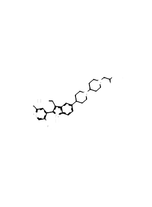 CCc1c(-c2cc(Cl)ncc2OC)[nH]c2ccc(C3CCN(C4CCN(CC(C)C)CC4)CC3)cc12